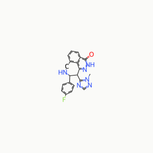 Cn1ncnc1C1c2n[nH]c(=O)c3cccc(c23)CNC1c1ccc(F)cc1